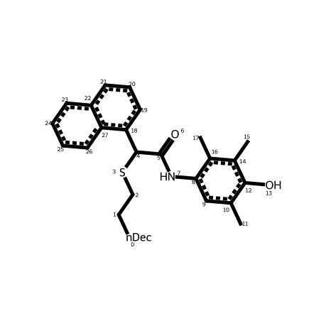 CCCCCCCCCCCCSC(C(=O)Nc1cc(C)c(O)c(C)c1C)c1cccc2ccccc12